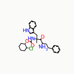 CC(Cc1c[nH]c2ccccc12)(NC(=O)OC1CCCCC1Cl)C(=O)[C](N)CCc1ccccc1